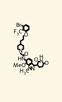 COc1c(NC(=O)CN2CCC(CCCOc3cccc(Br)c3C(F)(F)F)CC2)ccc2c(C3CCC(=O)NC3=O)nn(C)c12